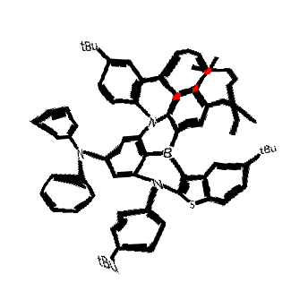 CC(C)(C)c1ccc(N2C3=CC(N(c4ccccc4)c4ccccc4)CC4=C3B(c3cc5c(cc3N4c3ccc(C(C)(C)C)cc3-c3ccccc3)C(C)(C)CCC5(C)C)c3c2sc2ccc(C(C)(C)C)cc32)cc1